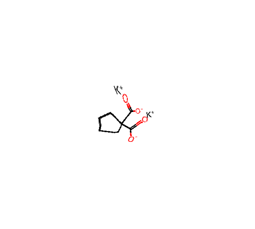 O=C([O-])C1(C(=O)[O-])CCCC1.[K+].[K+]